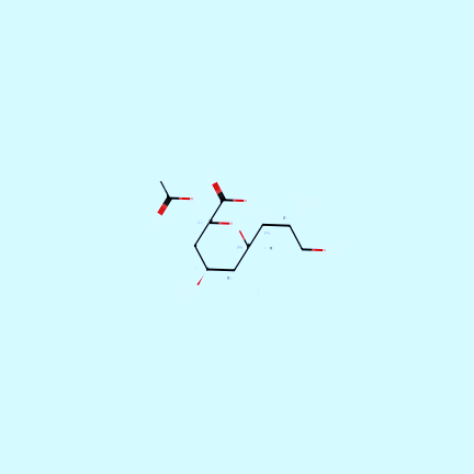 CCCCCCCCC(=O)O[C@@]12C[C@H](O)[C@@H](C)[C@@H](O1)[C@@H]([C@H](O)CO)OC2=O